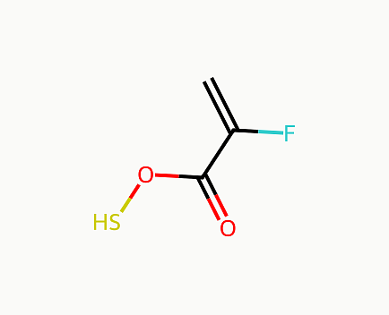 C=C(F)C(=O)OS